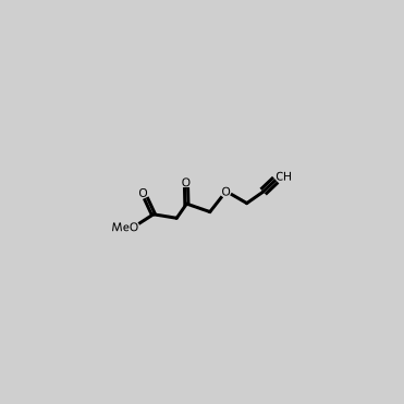 C#CCOCC(=O)CC(=O)OC